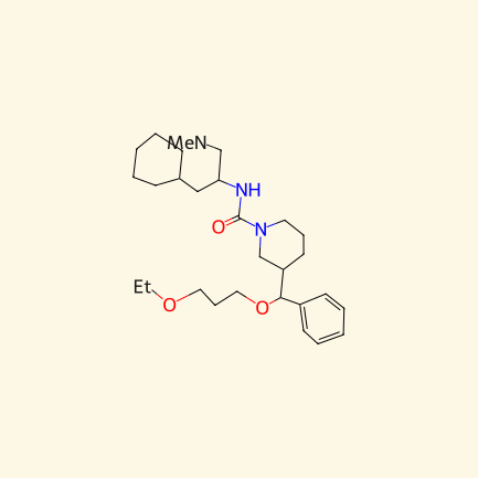 CCOCCCOC(c1ccccc1)C1CCCN(C(=O)NC(CNC)CC2CCCCC2)C1